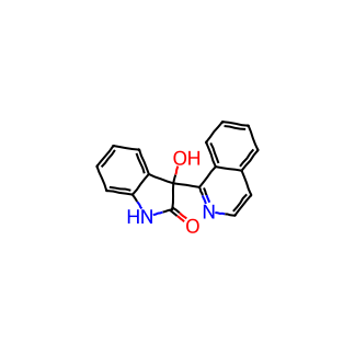 O=C1Nc2ccccc2C1(O)c1nccc2ccccc12